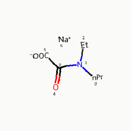 CCCN(CC)C(=O)C(=O)[O-].[Na+]